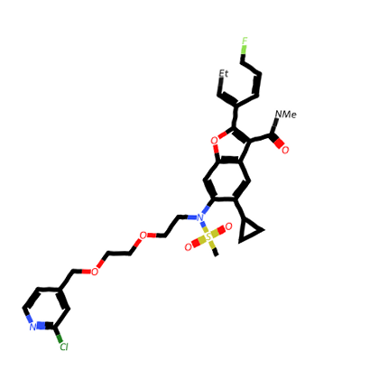 CC/C=C(\C=C/CF)c1oc2cc(N(CCOCCOCc3ccnc(Cl)c3)S(C)(=O)=O)c(C3CC3)cc2c1C(=O)NC